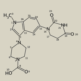 Cn1cc(N2CCN(C(=O)O)CC2)c2cc(N3CCC(=O)NC3=O)ccc21